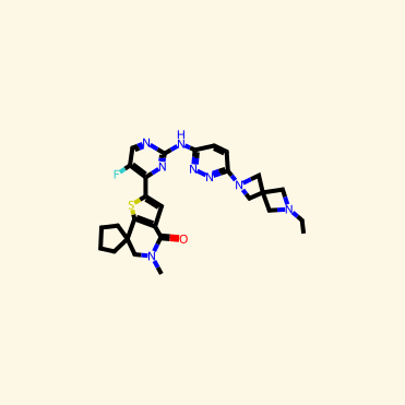 CCN1CC2(C1)CN(c1ccc(Nc3ncc(F)c(-c4cc5c(s4)C4(CCCC4)CN(C)C5=O)n3)nn1)C2